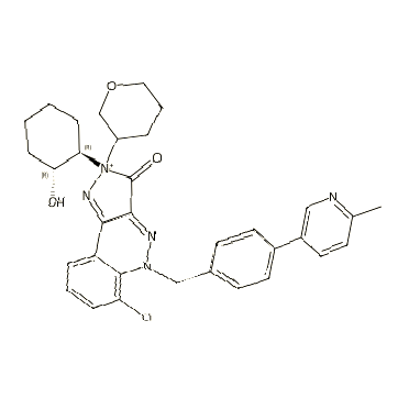 Cc1ccc(-c2ccc(CN3N=C4C(=O)[N+](C5CCCOC5)([C@@H]5CCCC[C@H]5O)N=C4c4cccc(Cl)c43)cc2)cn1